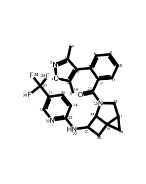 Cc1noc(C)c1-c1ccccc1C(=O)N1CC2CC23CC(Nc2ccc(C(F)(F)F)cn2)C13